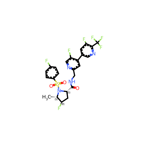 C[C@H]1[C@H](F)C[C@@H](C(=O)NCc2cc(-c3cnc(C(F)(F)F)c(F)c3)c(F)cn2)N1S(=O)(=O)c1ccc(F)cc1